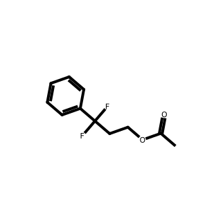 CC(=O)OCCC(F)(F)c1ccccc1